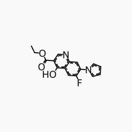 CCOC(=O)c1cnc2cc(-n3cccc3)c(F)cc2c1O